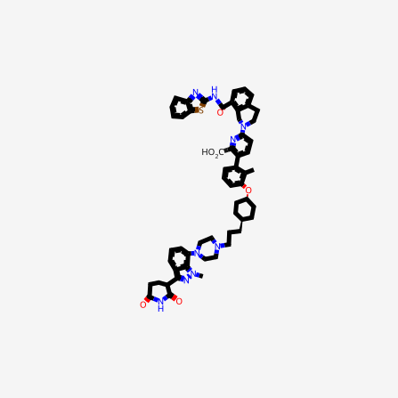 Cc1c(O[C@H]2CC[C@H](CCCN3CCN(c4cccc5c(C6CCC(=O)NC6=O)nn(C)c45)CC3)CC2)cccc1-c1ccc(N2CCc3cccc(C(=O)Nc4nc5ccccc5s4)c3C2)nc1C(=O)O